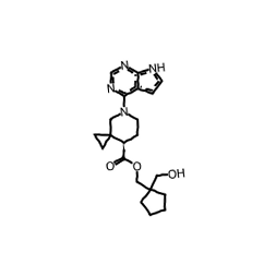 O=C(OCC1(CO)CCCC1)[C@@H]1CCN(c2ncnc3[nH]ccc23)CC12CC2